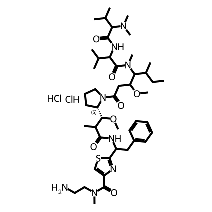 CCC(C)C(C(CC(=O)N1CCC[C@H]1C(OC)C(C)C(=O)NC(Cc1ccccc1)c1nc(C(=O)N(C)CCN)cs1)OC)N(C)C(=O)C(NC(=O)C(C(C)C)N(C)C)C(C)C.Cl.Cl